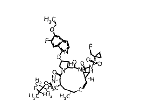 CCOc1cc2ccnc(O[C@@H]3C[C@H]4C(=O)N[C@]5(C(=O)NS(=O)(=O)C6(CF)CC6)C[C@H]5/C=C\CC[C@H](C)C[C@@H](C)[C@H](NC(=O)OC(C)(C)C(C)(F)F)C(=O)N4C3)c2cc1F